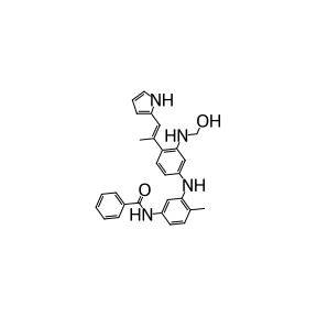 C/C(=C\c1ccc[nH]1)c1ccc(Nc2cc(NC(=O)c3ccccc3)ccc2C)cc1NCO